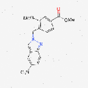 COC(=O)c1ccc(Cn2cc3cc([N+](=O)[O-])ccc3n2)c(OC)c1